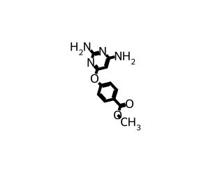 COC(=O)c1ccc(Oc2cc(N)nc(N)n2)cc1